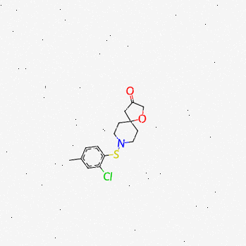 Cc1ccc(SN2CCC3(CC2)CC(=O)CO3)c(Cl)c1